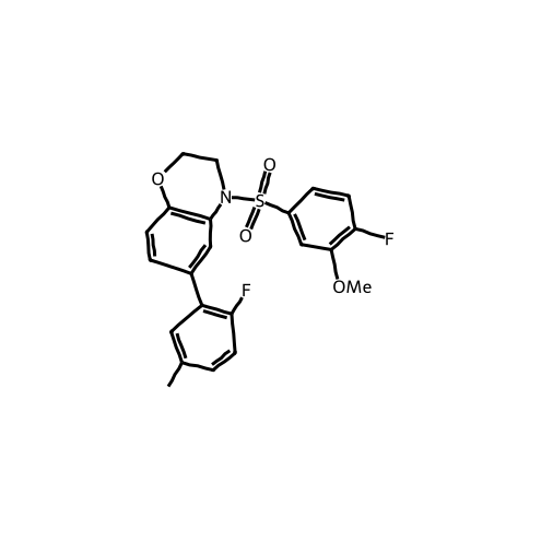 COc1cc(S(=O)(=O)N2CCOc3ccc(-c4cc(C)ccc4F)cc32)ccc1F